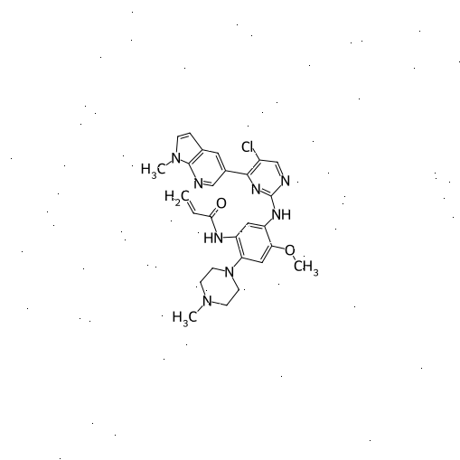 C=CC(=O)Nc1cc(Nc2ncc(Cl)c(-c3cnc4c(ccn4C)c3)n2)c(OC)cc1N1CCN(C)CC1